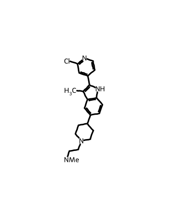 CNCCN1CCC(c2ccc3[nH]c(-c4ccnc(Cl)c4)c(C)c3c2)CC1